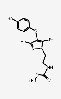 CCc1nn(CCNC(=O)OC(C)(C)C)c(CC)c1Sc1ccc(Br)cc1